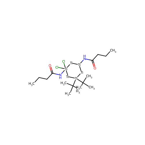 CCCC(=O)[NH][Ti]1[Ti][Ti]([C](C)(C)C)([C](C)(C)C)[Ti][Ti]([Cl])([Cl])([NH]C(=O)CCC)[Ti]1